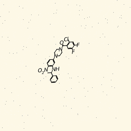 CC(Nc1cc(N2CCN(C(=O)c3cc(F)c(F)cc3Cl)CC2)ccc1[N+](=O)[O-])c1ccccc1